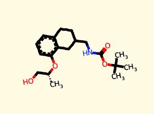 C[C@H](CO)Oc1cccc2c1CC(CNC(=O)OC(C)(C)C)CC2